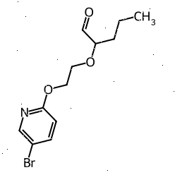 CCCC(C=O)OCCOc1ccc(Br)cn1